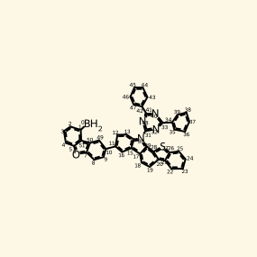 Bc1cccc2oc3ccc(-c4ccc5c(c4)c4ccc6c7ccccc7sc6c4n5-c4nc(-c5ccccc5)nc(-c5ccccc5)n4)cc3c12